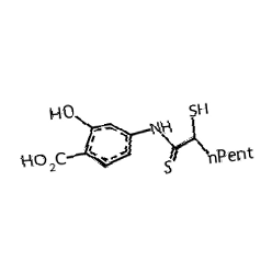 CCCCCC(S)C(=S)Nc1ccc(C(=O)O)c(O)c1